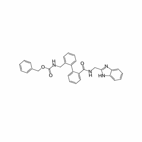 O=C(NCc1ccccc1-c1ccccc1C(=O)NCc1nc2ccccc2[nH]1)OCc1ccccc1